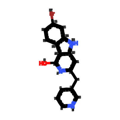 Oc1nc(Cc2cccnc2)cc2[nH]c3cc(Br)ccc3c12